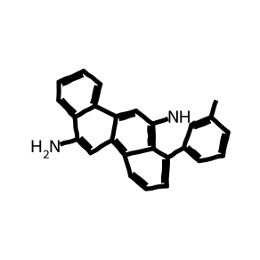 Cc1cccc(-c2cccc3c2c(N)cc2c4ccccc4c(N)cc32)c1